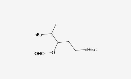 CCCCCCCCCC(O[C]=O)C(C)CCCC